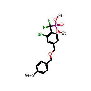 CCOP(=O)(OCC)C(F)(F)c1ccc(COCc2ccc(SC)cc2)cc1Br